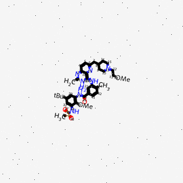 C=C/N=C1/C=CC(CC2CCN(CCOC)CC2)=N/C1=C(/N)Nc1cc(C(=O)Nc2cc(C(C)(C)C)cc(NS(C)(=O)=O)c2OC)ccc1C